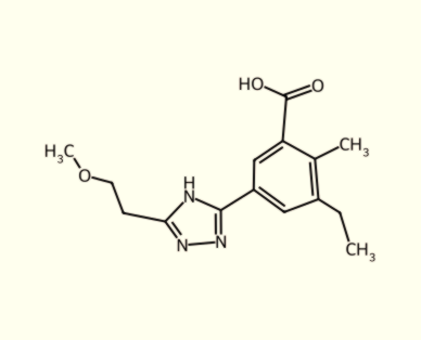 CCc1cc(-c2nnc(CCOC)[nH]2)cc(C(=O)O)c1C